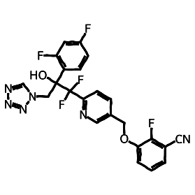 N#Cc1cccc(OCc2ccc(C(F)(F)C(O)(Cn3cnnn3)c3ccc(F)cc3F)nc2)c1F